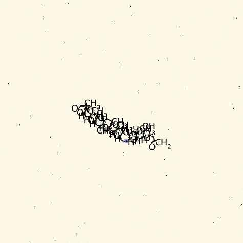 C=C(C=O)C[C@@H]1C[C@H](O)[C@]2(C)O[C@@H]3C[C@@H]4O[C@@H]5C[C@]6(C)O[C@]7(C)CC[C@@H]8O[C@@H]9C[C@]%10(C)O[C@@H]%11C(C)=CC(=O)O[C@H]%11C[C@H]%10O[C@H]9C[C@@H](C)[C@H]8O[C@H]7C[C@H]6O[C@H]5C/C=C\[C@H]4O[C@H]3C[C@H]2O1